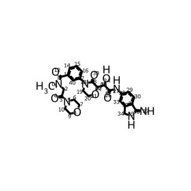 CN(CC(=O)N1CCOCC1)C(=O)c1cccc(N2CCO[C@H]([C@@H](O)C(=O)Nc3ccc4c(c3)CNC4=N)C2=O)c1